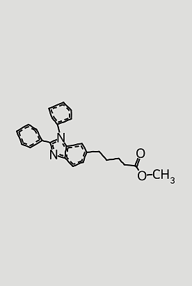 COC(=O)CCCCc1ccc2nc(-c3ccccc3)n(-c3ccccc3)c2c1